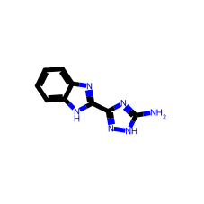 Nc1nc(-c2nc3ccccc3[nH]2)n[nH]1